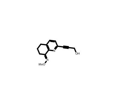 CON=C1CCCc2ccc(C#CCO)nc21